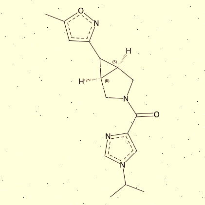 Cc1cc(C2[C@H]3CN(C(=O)c4cn(C(C)C)cn4)C[C@@H]23)no1